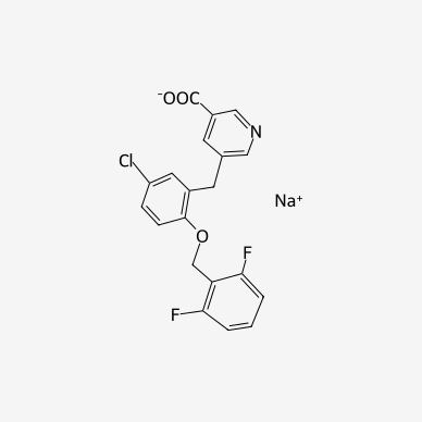 O=C([O-])c1cncc(Cc2cc(Cl)ccc2OCc2c(F)cccc2F)c1.[Na+]